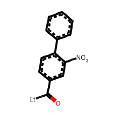 CCC(=O)c1ccc(-c2ccccc2)c([N+](=O)[O-])c1